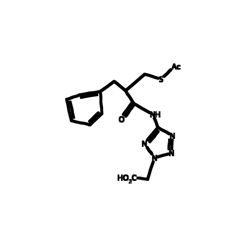 CC(=O)SCC(Cc1ccccc1)C(=O)Nc1nnn(CC(=O)O)n1